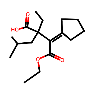 CCOC(=O)C(=C1CCCC1)C(CC)(CC(C)C)C(=O)O